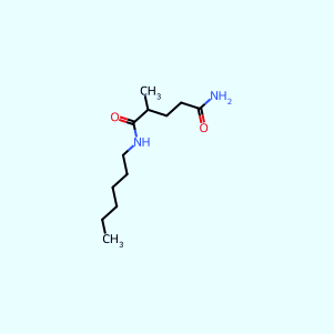 CCCCCCNC(=O)C(C)CCC(N)=O